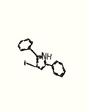 Ic1cc(-c2ccccc2)[nH]c1-c1ccccc1